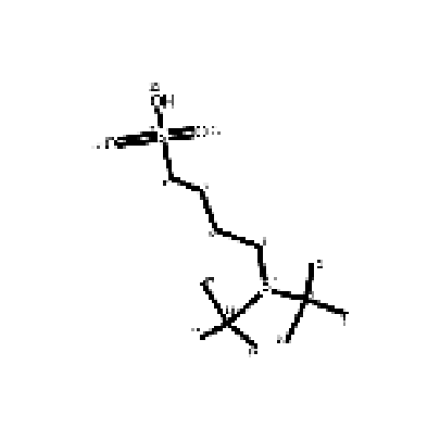 CC(C)(C)P(CCCCS(=O)(=O)O)C(C)(C)C